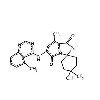 Cc1cc(Nc2ncnc3cccc(C)c23)c(=O)n2c1C(=O)NC21CCC(O)(C(F)(F)F)CC1